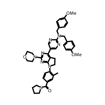 COc1ccc(CN(Cc2ccc(OC)cc2)c2ncc(-c3nc(N4CCOCC4)nc4c3CCN4c3ccc(C(=O)N4CCCC4)cc3C)cn2)cc1